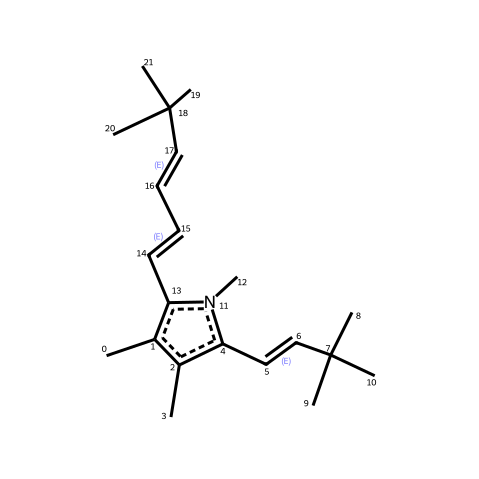 Cc1c(C)c(/C=C/C(C)(C)C)n(C)c1/C=C/C=C/C(C)(C)C